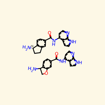 NC1COc2cc(C(=O)Nc3ccnc4[nH]ccc34)ccc21.N[C@H]1CCc2cc(C(=O)Nc3ccnc4[nH]ccc34)ccc21